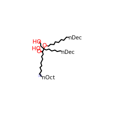 CCCCCCCC/C=C\CCCCCCCC(=O)C(CCCCCCCCCCCCCCCC)(OCCCCCCCCCCCCCCCCCC)C(O)CO